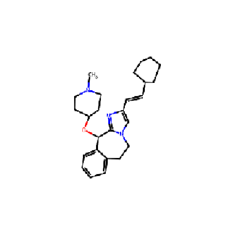 CN1CCC(OC2c3ccccc3CCn3cc(C=CC4CCCCC4)nc32)CC1